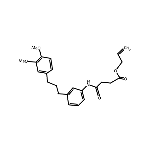 C=CCOC(=O)CCC(=O)Nc1cccc([CH]CCc2ccc(OC)c(OC)c2)c1